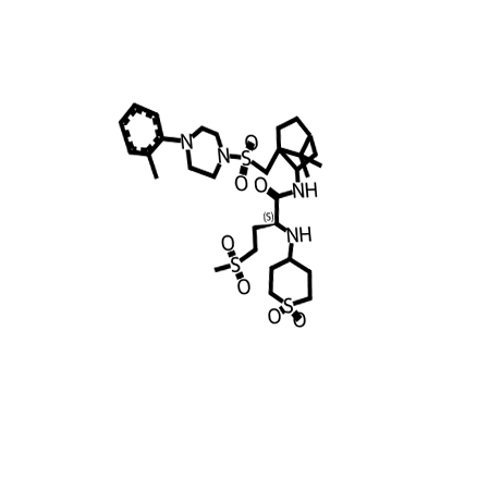 Cc1ccccc1N1CCN(S(=O)(=O)CC23CCC(CC2NC(=O)[C@H](CCS(C)(=O)=O)NC2CCS(=O)(=O)CC2)C3(C)C)CC1